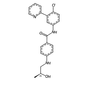 C[C@H](O)CNc1ccc(C(=O)Nc2ccc(Cl)c(-c3ccccn3)c2)cc1